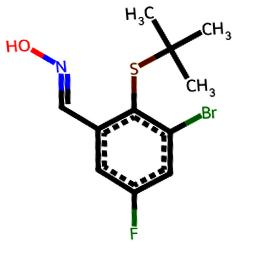 CC(C)(C)Sc1c(Br)cc(F)cc1/C=N/O